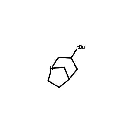 CC(C)(C)C1CC2CCN(C2)C1